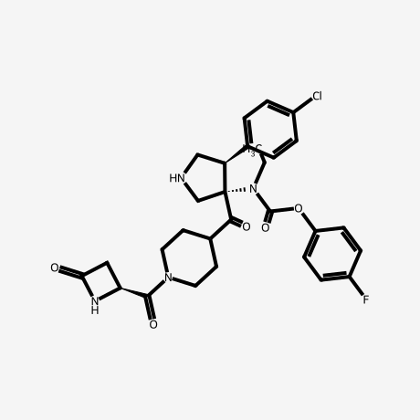 CCN(C(=O)Oc1ccc(F)cc1)[C@]1(C(=O)C2CCN(C(=O)[C@@H]3CC(=O)N3)CC2)CNC[C@H]1c1ccc(Cl)cc1